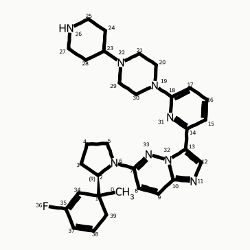 CC1([C@H]2CCCN2c2ccc3ncc(-c4cccc(N5CCN(C6CCNCC6)CC5)n4)n3n2)C=C(F)C=CC1